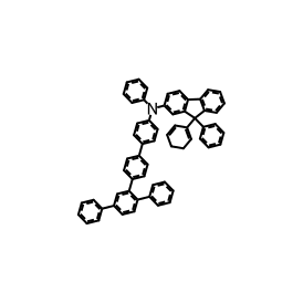 C1=CC(C2(c3ccccc3)c3ccccc3-c3ccc(N(c4ccccc4)c4ccc(-c5ccc(-c6cc(-c7ccccc7)ccc6-c6ccccc6)cc5)cc4)cc32)=CCC1